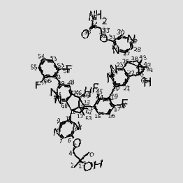 CC(C)(O)COc1cncc([C@@]23CC(c4ccc(F)c(-c5cc6c(nn5)[C@@]5(c7cncc(OCC(N)=O)n7)CC[C@@H]6C5(C)C)c4F)[C@@H](c4cc(-c5c(F)cccc5F)nnc42)C3(C)C)n1